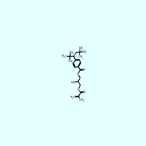 C=C(C)C(=O)OCC(O)COC(=O)c1ccc(C(CC(C)(C)C)C(C)(C)C)cc1